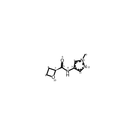 Cn1cc(NC(=O)[C@@H]2CCO2)cn1